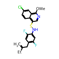 C=C(CC)Cc1cc(F)c(NSc2cnc(OC)c3cc(Cl)ccc23)cc1F